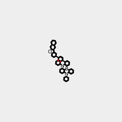 c1ccc(N2c3ccccc3B3c4cccc(-c5ccc(-c6ccc7oc8cc9ccccc9cc8c7c6)cc5)c4N(c4ccccc4)c4cccc2c43)cc1